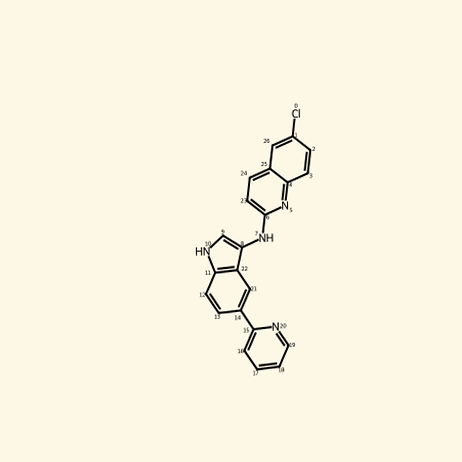 Clc1ccc2nc(Nc3c[nH]c4ccc(-c5ccccn5)cc34)ccc2c1